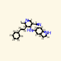 Cc1ncc(C#N)c(Nc2ccc3[nH]ccc3c2)c1C=Cc1ccccc1